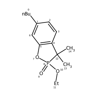 CCCCc1ccc2c(c1)OP(=O)(OCC)C2(C)C